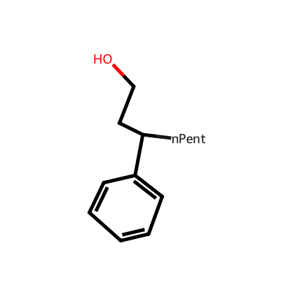 CCCCCC(CCO)c1ccccc1